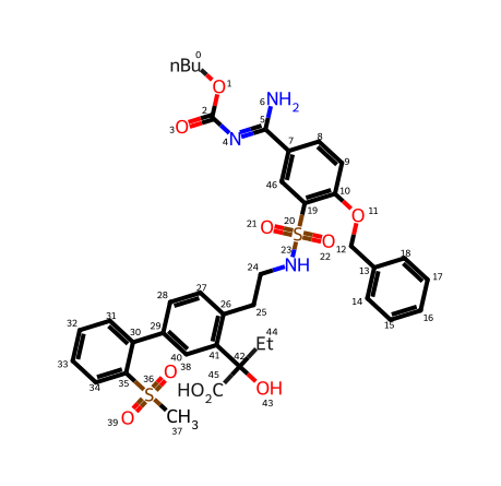 CCCCOC(=O)N=C(N)c1ccc(OCc2ccccc2)c(S(=O)(=O)NCCc2ccc(-c3ccccc3S(C)(=O)=O)cc2C(O)(CC)C(=O)O)c1